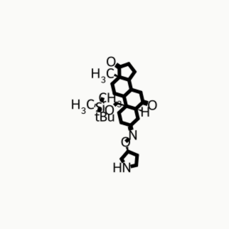 CC(C)(C)[Si](C)(C)OC[C@]12CCC(=NO[C@H]3CCNC3)C[C@@H]1C(=O)CC1C2CC[C@]2(C)C(=O)CCC12